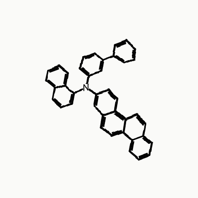 c1ccc(-c2cccc(N(c3ccc4c(ccc5c6ccccc6ccc45)c3)c3cccc4ccccc34)c2)cc1